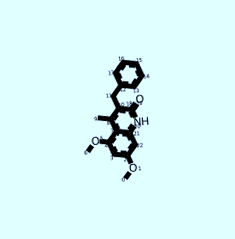 COc1cc(OC)c2c(C)c(Cc3ccccc3)c(=O)[nH]c2c1